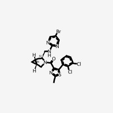 Cc1nc(C(=O)N2C[C@@H]3C[C@@H]3[C@H]2CNc2ncc(Br)cn2)c(-c2cccc(Cl)c2Cl)s1